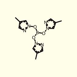 Cc1cnn(OB(On2cc(C)cn2)On2cc(C)cn2)c1